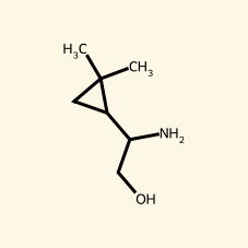 CC1(C)CC1C(N)CO